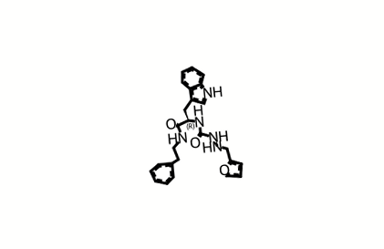 O=C(NNCc1ccco1)N[C@H](Cc1c[nH]c2ccccc12)C(=O)NCCc1ccccc1